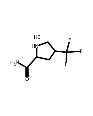 Cl.NC(=O)C1CC(C(F)(F)F)CN1